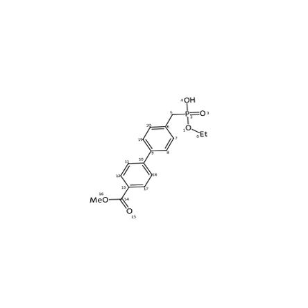 CCOP(=O)(O)Cc1ccc(-c2ccc(C(=O)OC)cc2)cc1